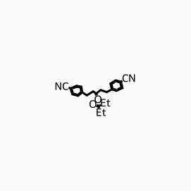 CCC(=O)CC.N#Cc1ccc(CCC(=O)CCc2ccc(C#N)cc2)cc1